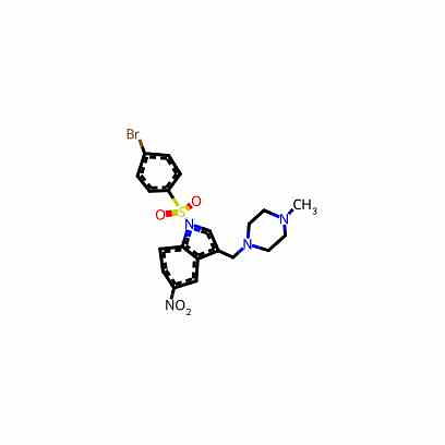 CN1CCN(Cc2cn(S(=O)(=O)c3ccc(Br)cc3)c3ccc([N+](=O)[O-])cc23)CC1